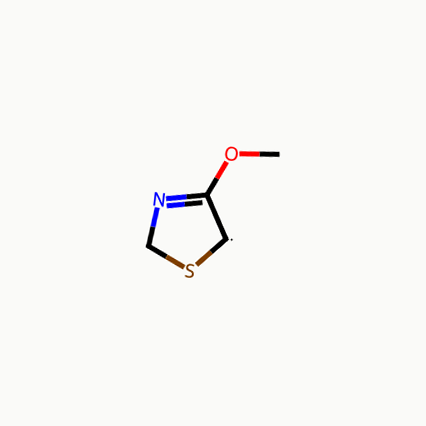 COC1=NCS[CH]1